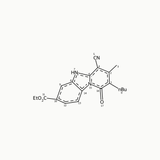 CCCCc1c(C)c(C#N)c2[nH]c3cc(C(=O)OCC)ccc3n2c1=O